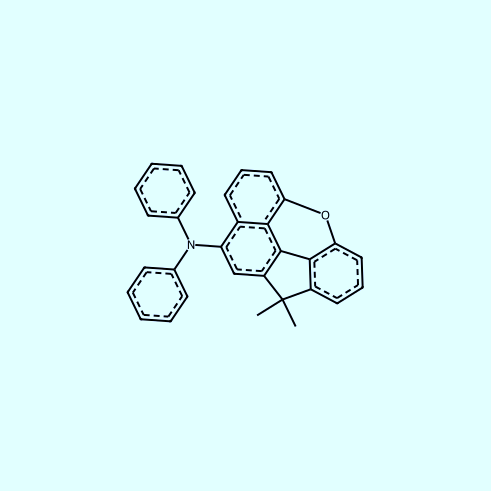 CC1(C)c2cccc3c2-c2c1cc(N(c1ccccc1)c1ccccc1)c1cccc(c21)O3